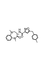 Cc1ccc(Cc2cc(C(=O)N[C@H]3CN(C)c4ccccc4N(C)C3=O)no2)cc1